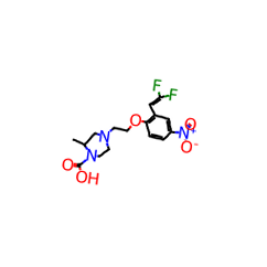 CC1CN(CCOc2ccc([N+](=O)[O-])cc2C=C(F)F)CCN1C(=O)O